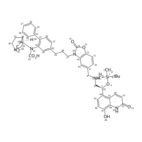 CC(C)(C)[Si](C)(C)O[C@H](CNCc1ccc2oc(=O)n(CCCc3ccc(-c4ccccc4)c(N(C(=O)O)[C@H]4CN5CCC4CC5)c3)c2c1)c1ccc(O)c2[nH]c(=O)ccc12